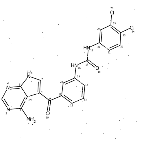 Nc1ncnc2[nH]cc(C(=O)c3cccc(NC(=O)Nc4ccc(Cl)c(Cl)c4)c3)c12